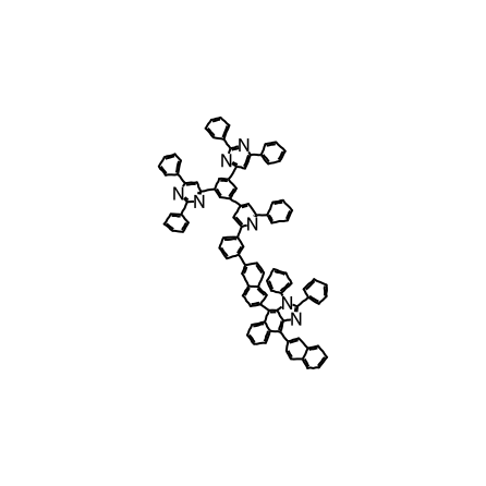 c1ccc(-c2cc(-c3cc(-c4cc(-c5ccccc5)nc(-c5ccccc5)n4)cc(-c4cc(-c5ccccc5)nc(-c5ccccc5)n4)c3)cc(-c3cccc(-c4ccc5cc(-c6c7ccccc7c(-c7ccc8ccccc8c7)c7nc(-c8ccccc8)n(-c8ccccc8)c67)ccc5c4)c3)n2)cc1